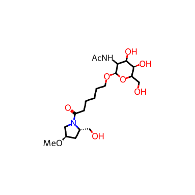 CO[C@@H]1C[C@@H](CO)N(C(=O)CCCCCO[C@@H]2OC(CO)[C@H](O)C(O)C2NC(C)=O)C1